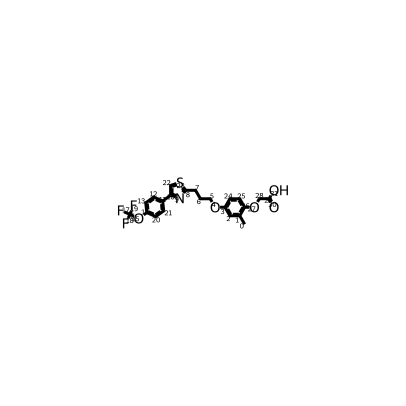 Cc1cc(OCCCc2nc(-c3ccc(OC(F)(F)F)cc3)cs2)ccc1OCC(=O)O